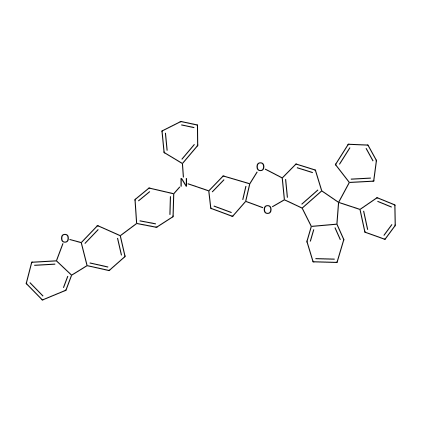 c1ccc(N(c2ccc(-c3ccc4c(c3)oc3ccccc34)cc2)c2ccc3c(c2)Oc2ccc4c(c2O3)-c2ccccc2C4(c2ccccc2)c2ccccc2)cc1